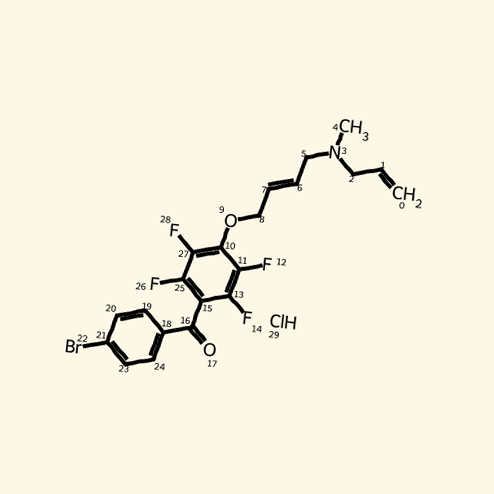 C=CCN(C)CC=CCOc1c(F)c(F)c(C(=O)c2ccc(Br)cc2)c(F)c1F.Cl